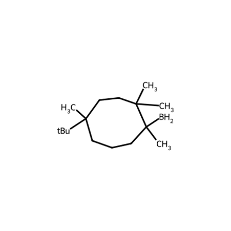 BC1(C)CCCC(C)(C(C)(C)C)CCC1(C)C